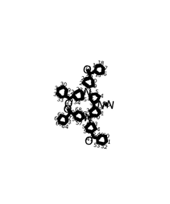 N#Cn1c2ccc(N(c3ccc(C(=O)c4ccccc4)cc3)c3ccc(C(=O)c4ccccc4)cc3)cc2c2cc(N(c3ccc(C(=O)c4ccccc4)cc3)c3ccc(C(=O)c4ccccc4)cc3)ccc21